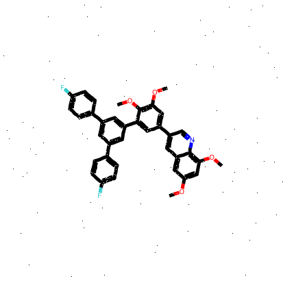 COc1cc(OC)c2ncc(-c3cc(OC)c(OC)c(-c4cc(-c5ccc(F)cc5)cc(-c5ccc(F)cc5)c4)c3)cc2c1